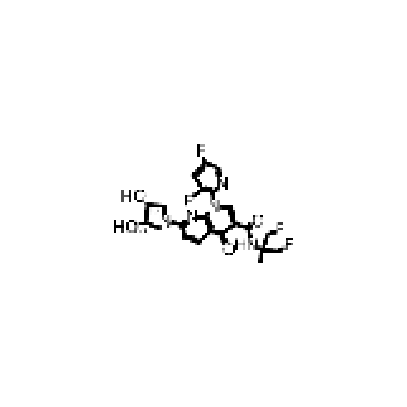 CC(CF)(CF)NC(=O)c1cn(-c2ncc(F)cc2F)c2nc(N3C[C@@H](O)[C@H](O)C3)ccc2c1=O